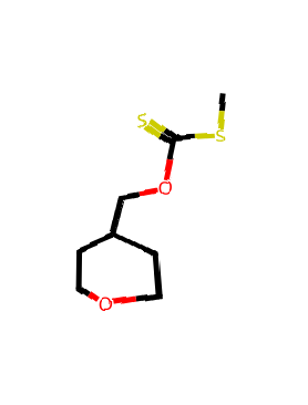 CSC(=S)OCC1CCOCC1